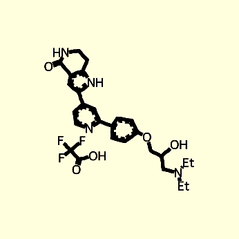 CCN(CC)CC(O)COc1ccc(-c2cc(-c3cc4c([nH]3)CCNC4=O)ccn2)cc1.O=C(O)C(F)(F)F